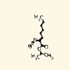 CCCCCC=C(N=C=O)C(=O)OC(C)C